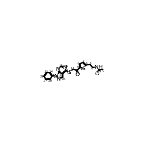 CC(=O)NCCc1ccc(C(=O)CSc2ncnc3c2cnn3-c2ccccc2)s1